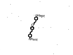 CCCCCCCC1CCC(CCCOc2ccc(CCC3CCC(CCCCC)CC3)cc2)CC1